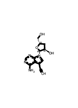 C#Cc1cn([C@@H]2O[C@H](CO)C[C@H]2O)c2ncnc(N)c12